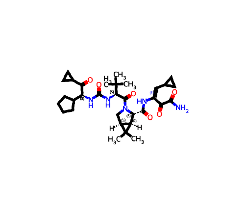 CC(C)(C)[C@H](NC(=O)N[C@H](C(=O)C1CC1)C1CCCC1)C(=O)N1C[C@H]2[C@@H]([C@H]1C(=O)N/C(=C/C1CC1)C(=O)C(N)=O)C2(C)C